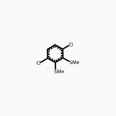 CSc1c(Cl)ccc(Cl)c1SC